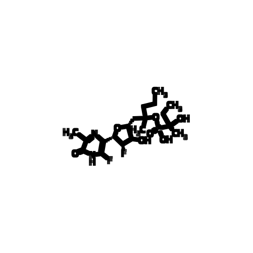 CCCC(C)(C[C@H]1O[C@@H](c2nc(C)c(=O)[nH]c2F)[C@@H](F)C1O)OP(=O)(O)C(C)(O)CC